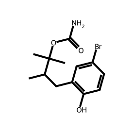 CC(Cc1cc(Br)ccc1O)C(C)(C)OC(N)=O